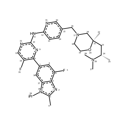 Cc1nc2c(F)cc(-c3nc(Nc4ccc(CN5CCO[C@](C)(C[C@H](C)N(C)C)C5)cn4)ncc3F)cc2n1C(C)C